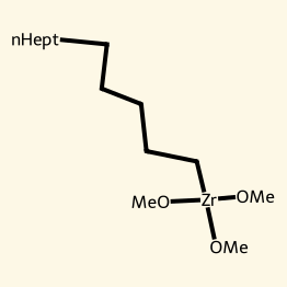 CCCCCCCCCCC[CH2][Zr]([O]C)([O]C)[O]C